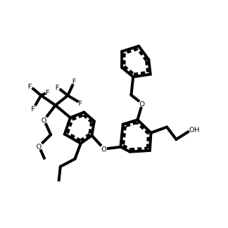 CCCc1cc(C(OCOC)(C(F)(F)F)C(F)(F)F)ccc1Oc1ccc(CCO)c(OCc2ccccc2)c1